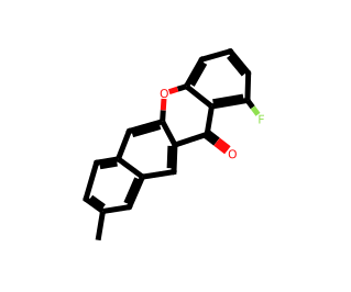 Cc1ccc2cc3oc4cccc(F)c4c(=O)c3cc2c1